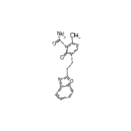 Cc1[c]cc(CCc2nc3ccccc3o2)c(=O)n1C(N)=O